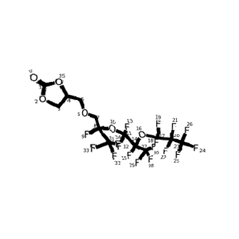 O=C1OCC(COCC(F)(OC(F)(F)C(F)(OC(F)(F)C(F)(F)C(F)(F)F)C(F)(F)F)C(F)(F)F)O1